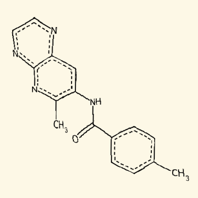 Cc1ccc(C(=O)Nc2cc3nccnc3nc2C)cc1